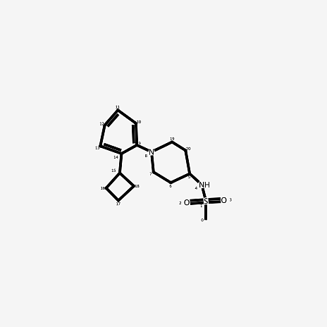 CS(=O)(=O)NC1CCN(c2cc[c]cc2C2CCC2)CC1